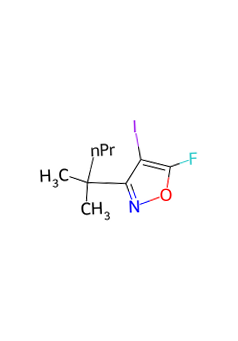 CCCC(C)(C)c1noc(F)c1I